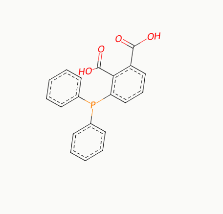 O=C(O)c1cccc(P(c2ccccc2)c2ccccc2)c1C(=O)O